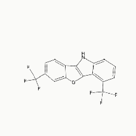 FC(F)(F)c1ccc2c(c1)oc1c2[nH]c2cccc(C(F)(F)F)c21